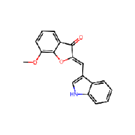 COc1cccc2c1OC(=Cc1c[nH]c3ccccc13)C2=O